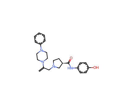 C=C(CN1CC[C@@H](C(=O)Nc2ccc(O)cc2)C1)N1CCN(c2ccccc2)CC1